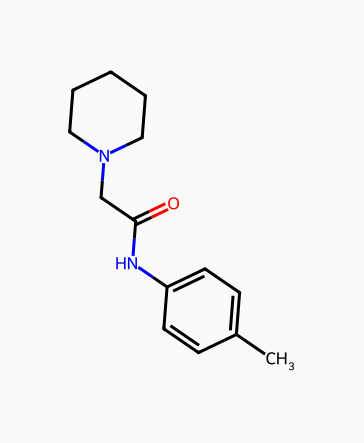 Cc1ccc(NC(=O)CN2CCCCC2)cc1